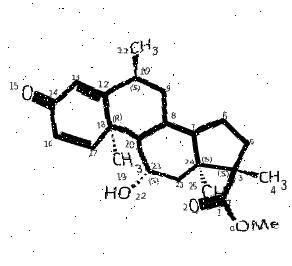 COC(=O)[C@@]1(C)CCC2C3C[C@H](C)C4=CC(=O)C=C[C@]4(C)C3[C@@H](O)C[C@@]21C